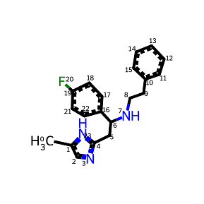 Cc1cnc(CC(NCCc2ccccc2)c2ccc(F)cc2)[nH]1